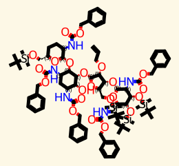 C=CCO[C@H]1[C@H](O[C@@H]2[C@@H](O)[C@H](NC(=O)OCc3ccccc3)C[C@H](NC(=O)OCc3ccccc3)[C@H]2O[C@H]2O[C@H](CO[Si](C)(C)C(C)(C)C)CC[C@H]2NC(=O)OCc2ccccc2)O[C@H](CO[Si](C)(C)C(C)(C)C)[C@H]1O[C@H]1O[C@@H](CNC(=O)OCc2ccccc2)[C@@H](O[Si](C)(C)C(C)(C)C)[C@H](O[Si](C)(C)C(C)(C)C)[C@H]1NC(=O)OCc1ccccc1